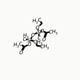 CCO[Si](C)(OC(C)=O)O[Si](C)(OCC)OC(C)=O